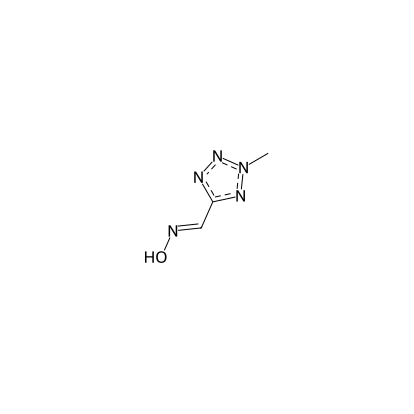 Cn1nnc(C=NO)n1